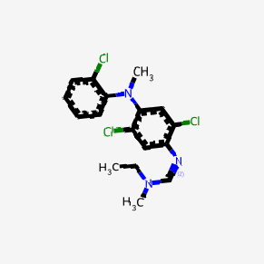 CCN(C)/C=N\c1cc(Cl)c(N(C)c2ccccc2Cl)cc1Cl